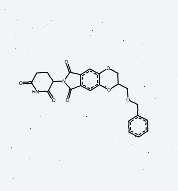 O=C1CCC(N2C(=O)c3cc4c(cc3C2=O)OC(COCc2ccccc2)CO4)C(=O)N1